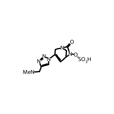 CNCc1cn(C2=CC3CN(C2)C(=O)N3OS(=O)(=O)O)nn1